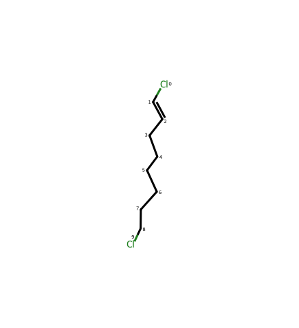 ClC=CCCCCCCCl